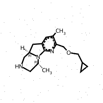 Cc1cc2c(nc1COCC1CC1)N1[C@@H](CNC[C@H]1C)C2